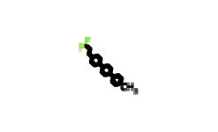 Cc1ccc(C2CCC(C3CCC(CCC(F)F)CC3)CC2)cc1